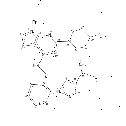 CC(C)n1cnc2c(NCc3ccccc3-n3cc(N(C)C)cn3)nc(N3CCC(N)CC3)nc21